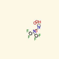 O=C(O)[C@@H]1CCCN(CCON=C(c2cc(F)cc(F)c2)c2cc(F)cc(F)c2)C1